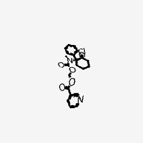 CN(C(=O)OCOC(=O)c1cccnc1)[C@@]1(c2ccccc2Cl)CCCCC1=O